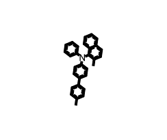 Cc1ccc(-c2ccc(N(c3ccccc3)c3c(C)ccc4ccccc34)cc2)cc1